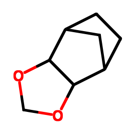 C1OC2C3CCC(C3)C2O1